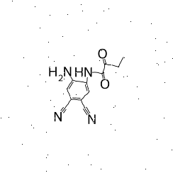 CCC(=O)C(=O)Nc1cc(C#N)c(C#N)cc1N